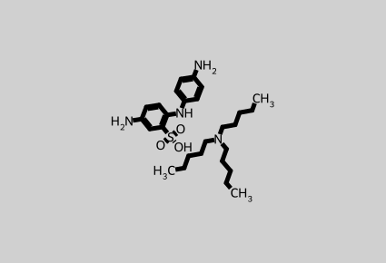 CCCCCN(CCCCC)CCCCC.Nc1ccc(Nc2ccc(N)cc2S(=O)(=O)O)cc1